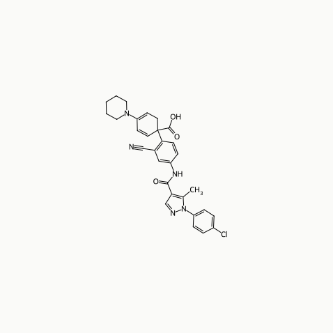 Cc1c(C(=O)Nc2ccc(C3(C(=O)O)C=CC(N4CCCCC4)=CC3)c(C#N)c2)cnn1-c1ccc(Cl)cc1